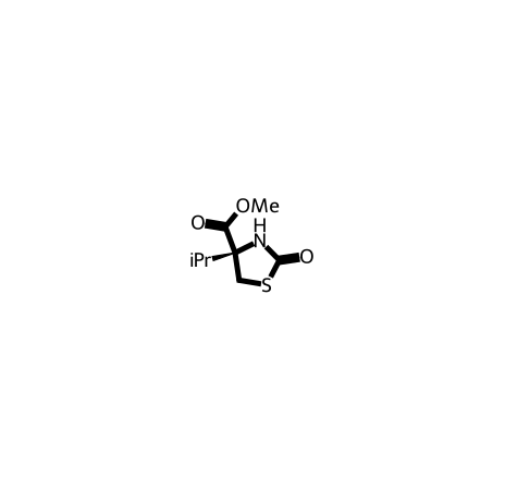 COC(=O)[C@@]1(C(C)C)CSC(=O)N1